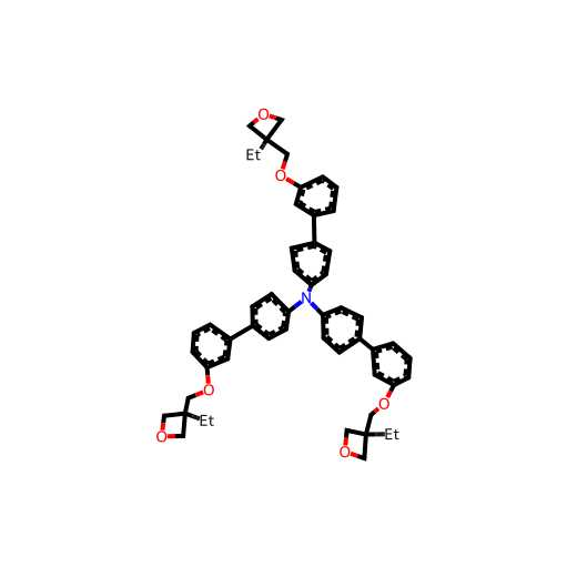 CCC1(COc2cccc(-c3ccc(N(c4ccc(-c5cccc(OCC6(CC)COC6)c5)cc4)c4ccc(-c5cccc(OCC6(CC)COC6)c5)cc4)cc3)c2)COC1